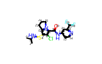 CC(C)NSc1c(Cl)c(C(=O)Nc2ccnc(C(F)F)c2)n2c1CCC2